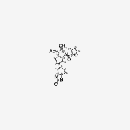 CC(=O)N1c2ccc(-c3ccc4c(c3)=NC(=O)N=4)cc2N(C(=O)c2ccco2)C[C@@H]1C